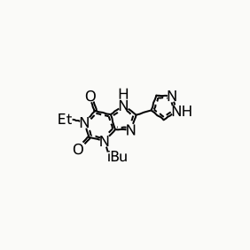 CCC(C)n1c(=O)n(CC)c(=O)c2[nH]c(-c3cn[nH]c3)nc21